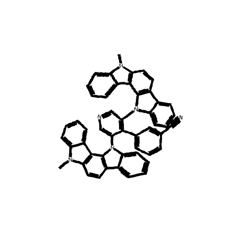 Cn1c2ccccc2c2c1ccc1c3ccccc3n(-c3cncc(-n4c5ccccc5c5ccc6c(c7ccccc7n6C)c54)c3-c3cccc(C#N)c3)c12